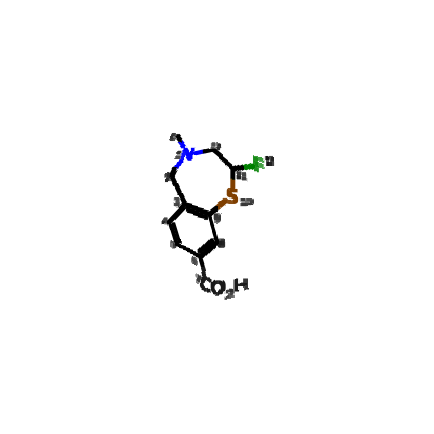 CN1Cc2ccc(C(=O)O)cc2SC(F)C1